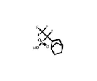 O=S(=O)(O)C(F)(C1CC2CCC1C2)C(F)(F)F